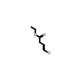 CCOC(=O)CC=CCl